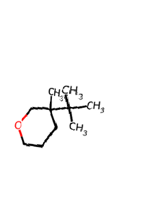 CC(C)(C)C1(C)CCCOC1